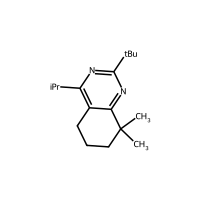 CC(C)c1nc(C(C)(C)C)nc2c1CCCC2(C)C